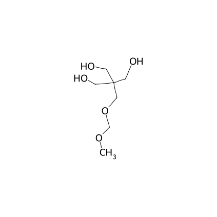 COCOCC(CO)(CO)CO